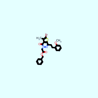 COc1ccccc1CCc1nn(CC(=O)OCc2ccccc2)c(=O)c2c(C)c(Br)sc12